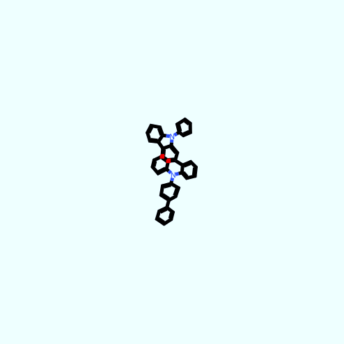 c1ccc(-c2ccc(N(c3ccccc3)c3ccccc3-c3ccc4c5ccccc5n(-c5ccccc5)c4c3)cc2)cc1